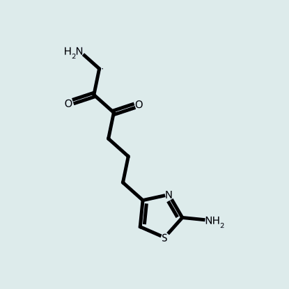 N[CH]C(=O)C(=O)CCCc1csc(N)n1